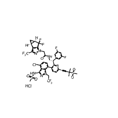 CC(C)(C#Cc1ccc(-c2ccc(Cl)c3c(NS(C)(=O)=O)nn(CC(F)(F)F)c23)c([C@H](CNC(=O)Cn2nc(C(F)(F)F)c3c2C(F)(F)[C@@H]2C[C@H]32)c2cc(F)cc(F)c2)n1)S(C)(=O)=O.Cl